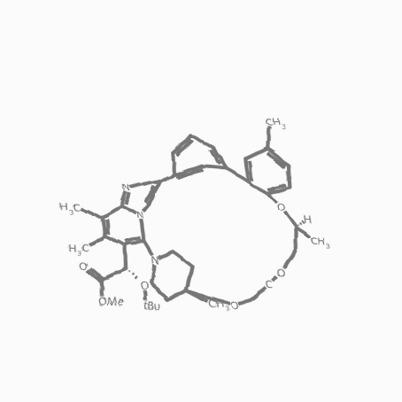 COC(=O)[C@@H](OC(C)(C)C)c1c(C)c(C)c2nc3cn2c1N1CCC(C)(CC1)OCCOC[C@H](C)Oc1ccc(C)cc1-c1cccc-3c1